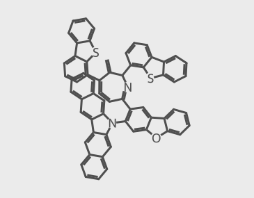 C=C1C(c2cccc3c2sc2ccccc23)=C=CC(c2cc3c(cc2-n2c4cc5ccccc5cc4c4cc5ccccc5cc42)oc2ccccc23)=NC1c1cccc2c1sc1ccccc12